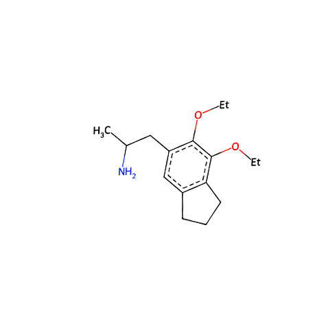 CCOc1c(CC(C)N)cc2c(c1OCC)CCC2